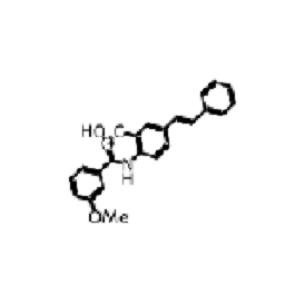 COc1cccc(C(=O)Nc2ccc(/C=C/c3ccccc3)cc2C(=O)O)c1